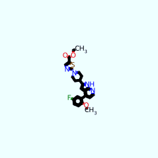 CCOC(=O)c1cnc(N2CCC(c3cc4c(-c5cc(F)ccc5OC)ccnc4[nH]3)CC2)s1